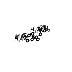 CC1(C)N=C(c2cccc(-c3ccc4c5c6ccccc6c(-c6cccc(C7=NC(C)(C)C(C)(C)N7c7ccccc7)c6)cc5n(-c5ccccc5)c4c3)c2)N(c2ccccc2)C1(C)C